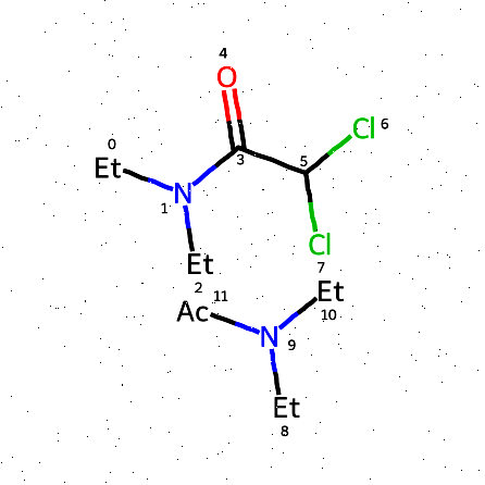 CCN(CC)C(=O)C(Cl)Cl.CCN(CC)C(C)=O